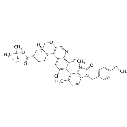 COc1ccc(Cn2c(=O)n(C)c3c(-c4c(Cl)cc5c6c(cnc5c4F)OC[C@H]4CN(C(=O)OC(C)(C)C)CCN64)c(C)ccc32)cc1